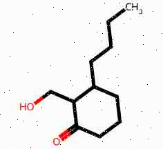 CCCCC1CCCC(=O)C1CO